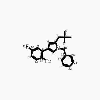 CC(C)(C)[CH]c1cc(-c2cc(F)ccc2F)cn1Cc1ccccc1